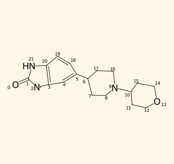 O=C1[N]c2cc(C3CCN(C4CCOCC4)CC3)ccc2N1